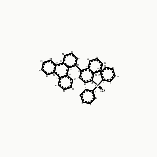 O=P(c1ccccc1)(c1ccccc1)c1ccc(-c2cccc3c4ccccc4c4ccccc4c23)c2ccccc12